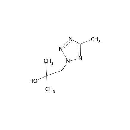 Cc1nnn(CC(C)(C)O)n1